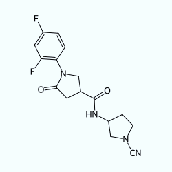 N#CN1CCC(NC(=O)C2CC(=O)N(c3ccc(F)cc3F)C2)C1